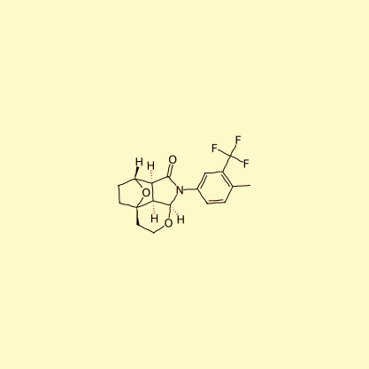 Cc1ccc(N2C(=O)[C@H]3[C@H]4[C@@H]2OCC[C@]42CC[C@H]3O2)cc1C(F)(F)F